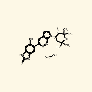 CC1(C)C[C@H](n2ccc3cc(-c4cc5oc(=O)[nH]c5cc4O)nnc32)[C@H](F)C(C)(C)N1.O=CO